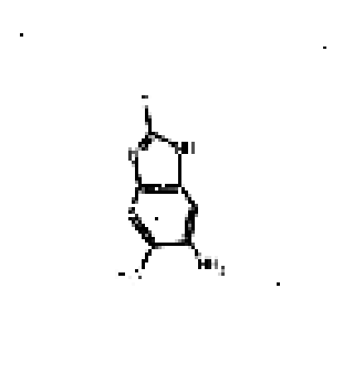 Nc1cc2nc(Cl)[nH]c2cc1N